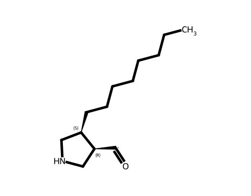 CCCCCCCC[C@@H]1CNC[C@@H]1[C]=O